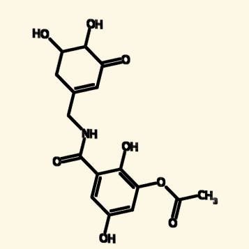 CC(=O)Oc1cc(O)cc(C(=O)NCC2=CC(=O)C(O)C(O)C2)c1O